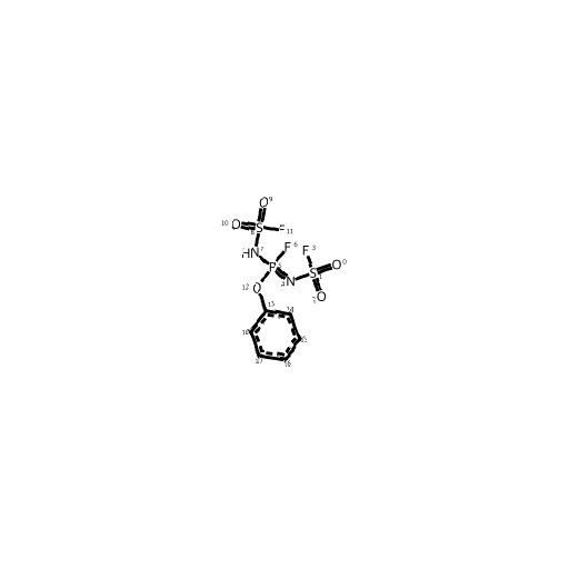 O=S(=O)(F)N=P(F)(NS(=O)(=O)F)Oc1ccccc1